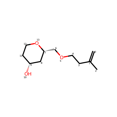 C=C(C)CCOC[C@@H]1C[C@H](O)CCO1